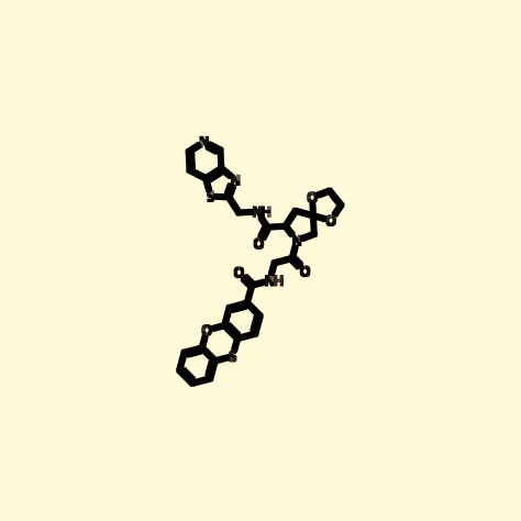 O=C(NCC(=O)N1CC2(CC1C(=O)NCc1nc3cnccc3s1)OCCO2)c1ccc2c(c1)Oc1ccccc1S2